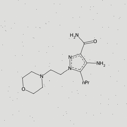 CCCc1c(N)c(C(N)=O)nn1CCN1CCOCC1